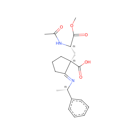 COC(=O)[C@H](C[C@@]1(C(=O)O)CCCC1=N[C@@H](C)c1ccccc1)NC(C)=O